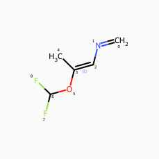 C=N/C=C(\C)OC(F)F